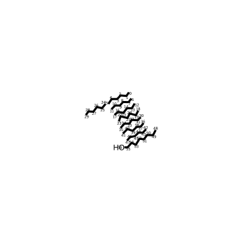 CCCCCC.CCCCCC.CCCCCC.CCCCCC.CCCCCC.CCCCCC.CCCCCC.CCCCCC.CCCCCCCCO